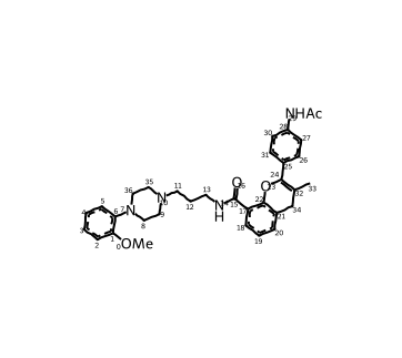 COc1ccccc1N1CCN(CCCNC(=O)c2cccc3c2OC(c2ccc(NC(C)=O)cc2)=C(C)C3)CC1